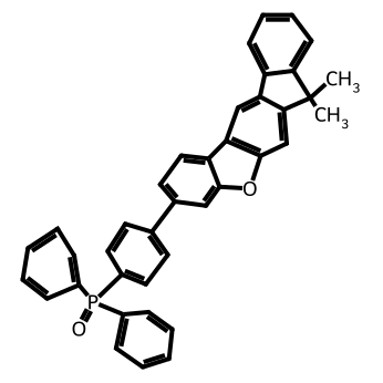 CC1(C)c2ccccc2-c2cc3c(cc21)oc1cc(-c2ccc(P(=O)(c4ccccc4)c4ccccc4)cc2)ccc13